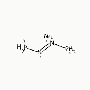 PN=NP.[Ni]